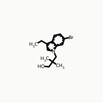 CCc1cn(CC(C)(C)CO)c2cc(Br)ccc12